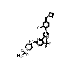 CS(=O)(=O)N1CCC(Nc2ncc(C(F)(F)F)c(-c3cn(-c4ccc(CN5CCC5)cc4Cl)cn3)n2)CC1